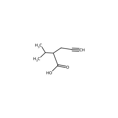 C#CCC(C(=O)O)C(C)C